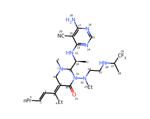 CCCC=C/C(CC)=C1\CN(C)C([C@H](C)Nc2ncnc(N)c2C#N)N(N(CC)CCNC(C)C(F)(F)F)C1=O